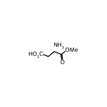 COC(=O)CCC(=O)O.N